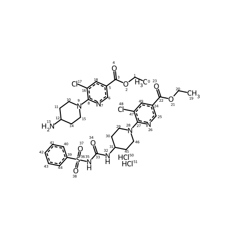 CCOC(=O)c1cnc(N2CCC(N)CC2)c(Cl)c1.CCOC(=O)c1cnc(N2CCC(NC(=O)NS(=O)(=O)c3ccccc3)CC2)c(Cl)c1.Cl.Cl